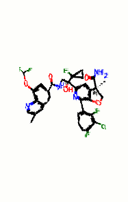 Cc1cnc2c(OC(F)F)cc(C(=O)NC[C@](O)(c3cc4c(c(-c5ccc(F)c(Cl)c5F)n3)OC[C@]4(C)C(N)=O)C3(F)CC3)cc2c1